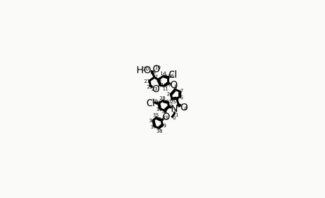 CCN(C(=O)c1ccc(Oc2cc3c(cc2Cl)C(C(=O)O)CCO3)cc1)c1ccc(Cl)cc1Oc1ccccc1